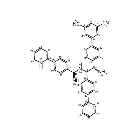 N#Cc1cc(C#N)cc(-c2ccc([C@@H](N)C(NC(=N)c3ccc(C4=CC=CCN4)cc3)c3ccc(-c4ccccn4)cc3)cc2)c1